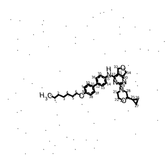 CCCCCCCOc1ccc(-c2ccc(Nc3nc(N4CCOC(C5CC5)C4)nc4c3COC4)cc2)cc1